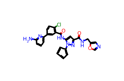 Nc1cccc(-c2ccc(Cl)c(C(=O)Nc3cc(C(=O)NCc4cnco4)nn3-c3ccccc3)c2)n1